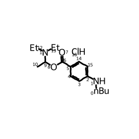 CCCCNc1ccc(C(=O)OC(C)N(CC)CC)cc1.Cl